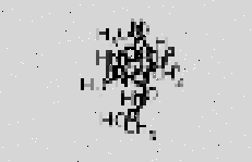 COc1cc2c(cc1-c1c(C)noc1C)[nH]c1nc(C)nc(-c3cc(C(=O)NCC4CC(C)(O)C4)cc(C(C)(C)C)c3)c12